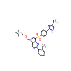 Cn1cc(C(F)(F)F)nc1-c1ccc(S(=O)(=O)c2cn(COCC[Si](C)(C)C)c3cnc(-c4ccccc4C(F)(F)F)nc23)cc1